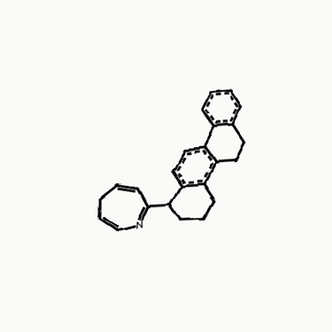 C1=CN=C(C2CCCc3c2ccc2c3CCc3ccccc3-2)C=CC1